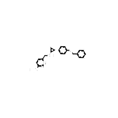 Nc1ccc(CN[C@H]2C[C@@H]2c2ccc(OCc3ccccc3)cc2)nn1